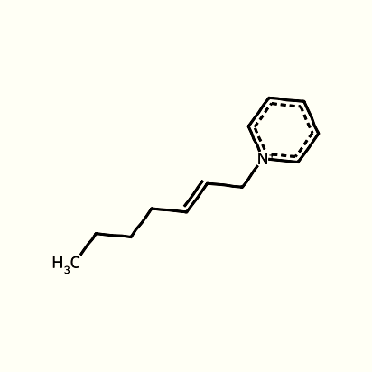 CCCCC=CC[n+]1ccccc1